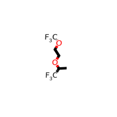 CC(OCCOC(F)(F)F)C(F)(F)F